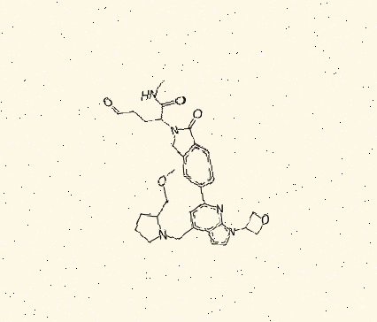 CNC(=O)C(CCC=O)N1Cc2cc(-c3cc(CN4CCCC4COC)c4ccn(C5COC5)c4n3)ccc2C1=O